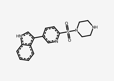 O=S(=O)(c1ccc(-c2c[nH]c3ccccc23)cn1)N1CCNCC1